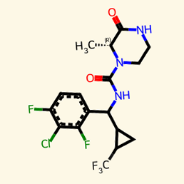 C[C@@H]1C(=O)NCCN1C(=O)NC(c1ccc(F)c(Cl)c1F)C1CC1C(F)(F)F